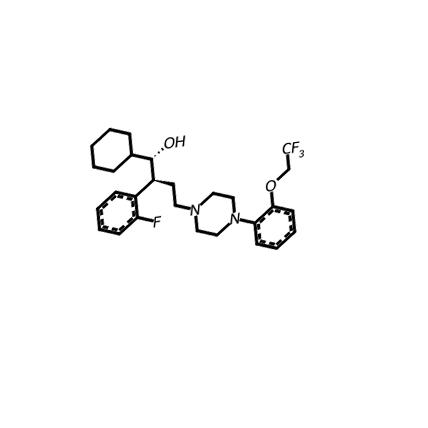 O[C@@H](C1CCCCC1)[C@@H](CCN1CCN(c2ccccc2OCC(F)(F)F)CC1)c1ccccc1F